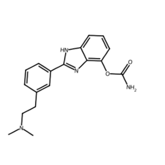 CN(C)CCc1cccc(-c2nc3c(OC(N)=O)cccc3[nH]2)c1